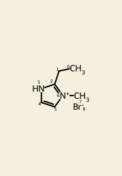 CCc1[nH]cc[n+]1C.[Br-]